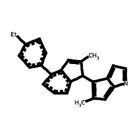 CCc1ccc(-c2cccc3c2C=C(C)[C]3C2=C(C)C=C3N=CC=C32)cc1